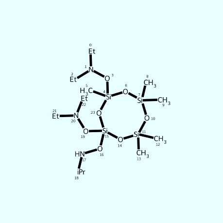 CCN(CC)O[Si]1(C)O[Si](C)(C)O[Si](C)(C)O[Si](ONC(C)C)(ON(CC)CC)O1